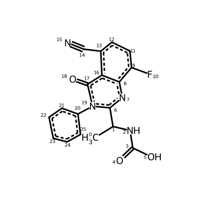 CC(NC(=O)O)c1nc2c(F)ccc(C#N)c2c(=O)n1-c1ccccc1